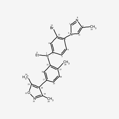 CCN(c1ccc(-n2cnc(C)c2)c(Br)c1)c1cc(-c2c(C)noc2C)ccc1C